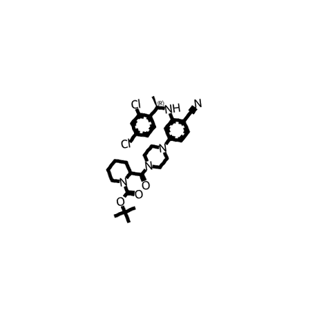 C[C@@H](Nc1cc(N2CCN(C(=O)C3CCCCN3C(=O)OC(C)(C)C)CC2)ccc1C#N)c1ccc(Cl)cc1Cl